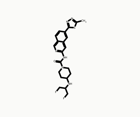 Cc1nnc(-c2ccc3cnc(NC(=O)N4CCC(NC(CF)CF)CC4)cc3c2)s1